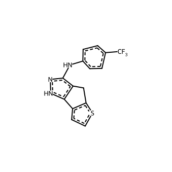 FC(F)(F)c1ccc(Nc2n[nH]c3c2Cc2sccc2-3)cc1